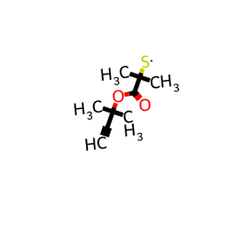 C#CC(C)(C)OC(=O)C(C)(C)[S]